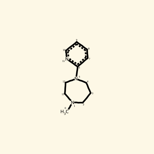 CN1CCCN(c2ccccn2)CC1